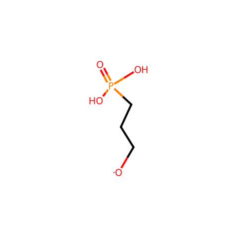 [O]CCCP(=O)(O)O